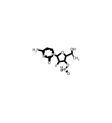 C[C@H](O)C1OC(n2ccc(N)nc2=O)C(F)C1O[PH](=O)O